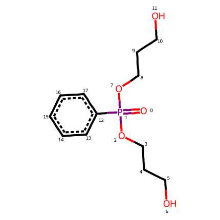 O=P(OCCCO)(OCCCO)c1ccccc1